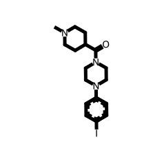 CN1CCC(C(=O)N2CCN(c3ccc(I)cc3)CC2)CC1